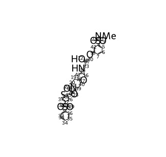 CNS(=O)(=O)c1cccc(OC[C@@H](O)CNC2COC3(CCN(S(=O)(=O)c4cc(S(=O)(=O)c5ccccc5)cs4)CC3)C2)c1